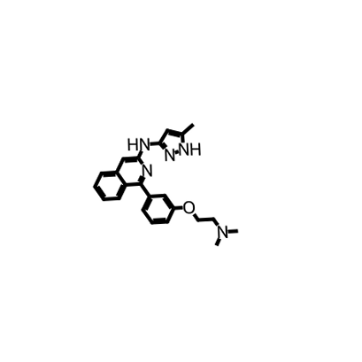 Cc1cc(Nc2cc3ccccc3c(-c3cccc(OCCN(C)C)c3)n2)n[nH]1